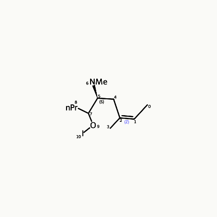 C/C=C(/C)C[C@H](NC)C(CCC)OI